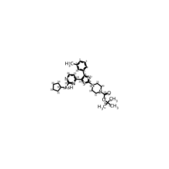 Cc1cccc(-c2nc(N3CCN(C(=O)OC(C)(C)C)CC3)sc2-c2ccnc([AsH]C3CCCC3)n2)c1